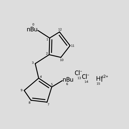 CCCCC1=C(CC2=C(CCCC)C=CC2)CC=C1.[Cl-].[Cl-].[Hf+2]